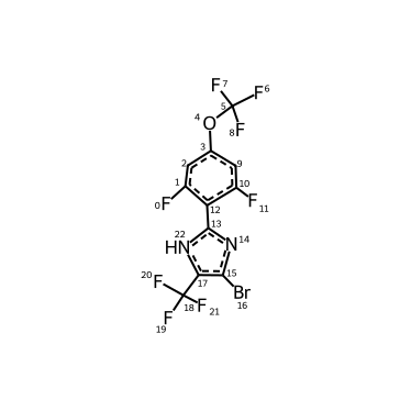 Fc1cc(OC(F)(F)F)cc(F)c1-c1nc(Br)c(C(F)(F)F)[nH]1